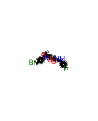 Cc1oc(-c2ccc(CBr)cc2)nc1C[S+]([O-])CC(=O)NCCc1ccc(F)cc1